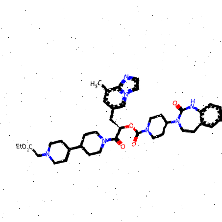 CCOC(=O)CN1CCC(C2CCN(C(=O)[C@@H](Cc3cc(C)c4nccn4c3)OC(=O)N3CCC(N4CCc5ccccc5NC4=O)CC3)CC2)CC1